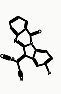 [C-]#[N+]/C(C#N)=c1/c2cc(F)ccc2n2c(=O)c3ccccc3nc12